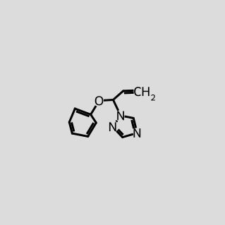 C=CC(Oc1ccccc1)n1cncn1